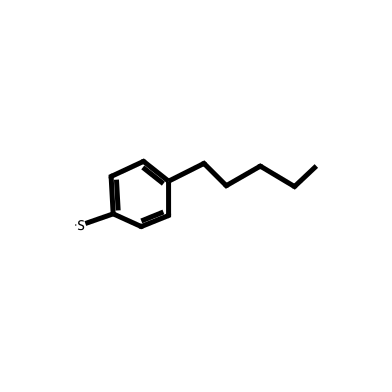 CCCCCc1ccc([S])cc1